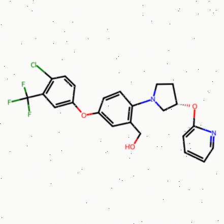 OCc1cc(Oc2ccc(Cl)c(C(F)(F)F)c2)ccc1N1CC[C@H](Oc2ccccn2)C1